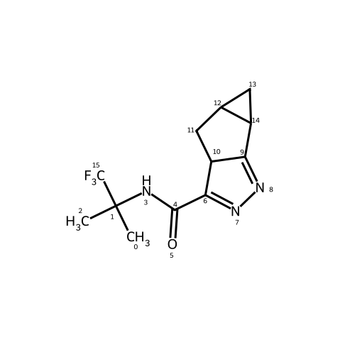 CC(C)(NC(=O)C1=NN=C2C1CC1CC21)C(F)(F)F